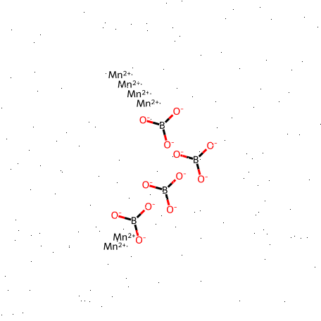 [Mn+2].[Mn+2].[Mn+2].[Mn+2].[Mn+2].[Mn+2].[O-]B([O-])[O-].[O-]B([O-])[O-].[O-]B([O-])[O-].[O-]B([O-])[O-]